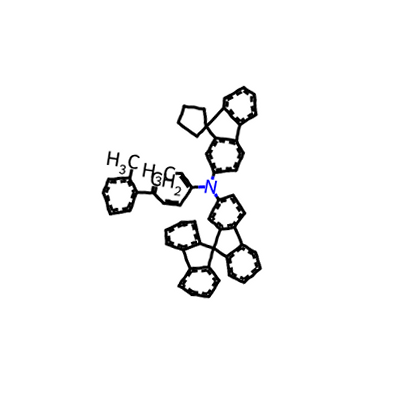 C=C(/C=C\C(=C/C)N(c1ccc2c(c1)C1(CCCC1)c1ccccc1-2)c1ccc2c(c1)C1(c3ccccc3-c3ccccc31)c1ccccc1-2)c1ccccc1C